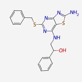 Nc1nc2nc(SCc3ccccc3)nc(NCC(O)c3ccccc3)c2s1